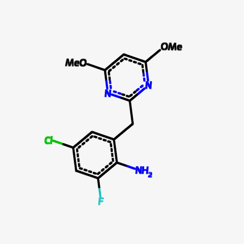 COc1cc(OC)nc(Cc2cc(Cl)cc(F)c2N)n1